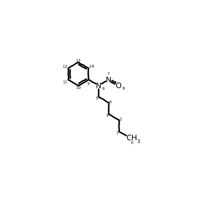 CCCCCCN(N=O)c1ccccc1